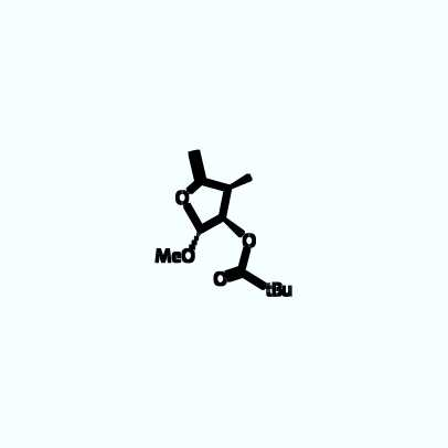 C=C1O[C@@H](OC)[C@H](OC(=O)C(C)(C)C)[C@@H]1C